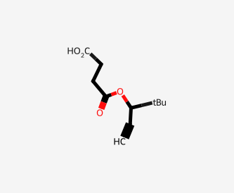 C#CC(OC(=O)CCC(=O)O)C(C)(C)C